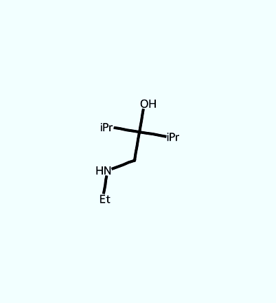 CCNCC(O)(C(C)C)C(C)C